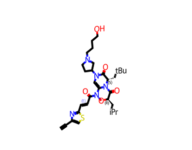 C#Cc1csc(/C=C/C(=O)N2O[C@H](CC(C)C)C(=O)N3C2=CN(C2CCN(CCCCO)C2)C(=O)[C@@H]3CC(C)(C)C)n1